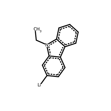 [Li][c]1ccc2c3ccccc3n(CC)c2c1